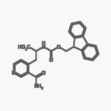 NC(=O)c1cnccc1CC(NC(=O)OCC1c2ccccc2-c2ccccc21)C(=O)O